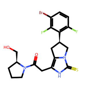 O=C(Cc1[nH]c(=S)n2c1C[C@@H](c1c(F)ccc(Br)c1F)C2)N1CCC[C@H]1CO